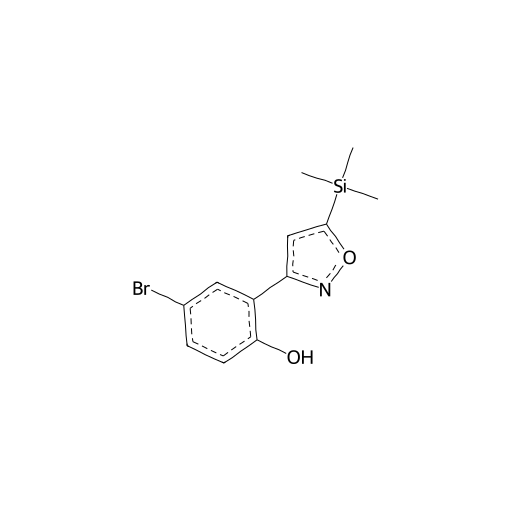 C[Si](C)(C)c1cc(-c2cc(Br)ccc2O)no1